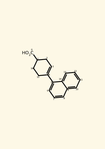 O=C(O)C1CC=C(c2cccc3ccccc23)CC1